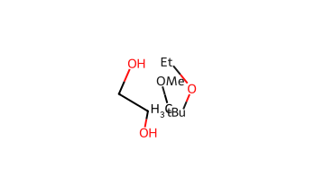 CCOC(C)(C)C.COC.OCCO